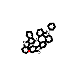 c1ccc(-n2c3ccccc3c3c(N(c4cc5c6ccccc6sc5c5ccccc45)c4cccc5sc6ccccc6c45)cccc32)cc1